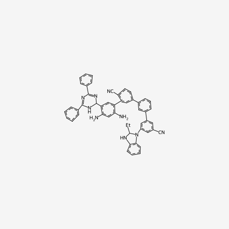 CCC1Nc2ccccc2N1c1cc(C#N)cc(-c2cccc(-c3ccc(C#N)c(-c4cc(C5N=C(c6ccccc6)N=C(c6ccccc6)N5)c(N)cc4N)c3)c2)c1